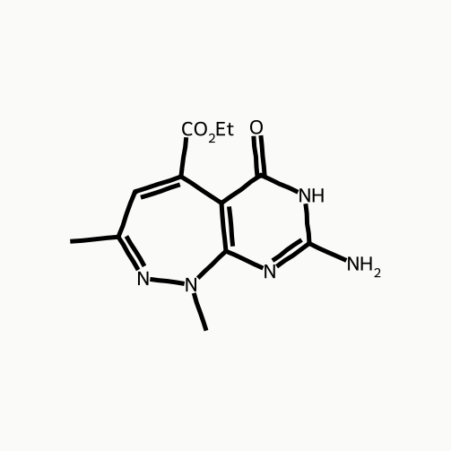 CCOC(=O)C1=CC(C)=NN(C)c2nc(N)[nH]c(=O)c21